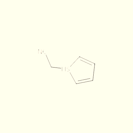 N#CC[SH]1C=CC=C1